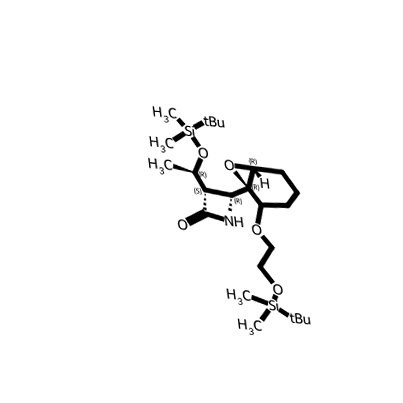 C[C@@H](O[Si](C)(C)C(C)(C)C)[C@H]1C(=O)N[C@H]1[C@]12O[C@@H]1CCCC2OCCO[Si](C)(C)C(C)(C)C